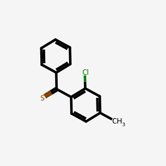 Cc1ccc(C(=S)c2ccccc2)c(Cl)c1